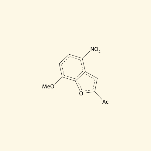 COc1ccc([N+](=O)[O-])c2cc(C(C)=O)oc12